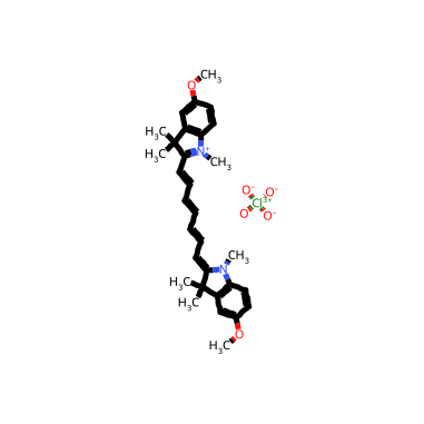 COc1ccc2c(c1)C(C)(C)C(/C=C/C=C/C=C/C=C1\N(C)c3ccc(OC)cc3C1(C)C)=[N+]2C.[O-][Cl+3]([O-])([O-])[O-]